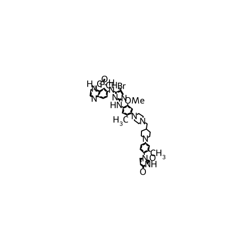 COc1cc(N2CCN(CC3CCN(c4ccc(-n5ccc(=O)[nH]c5=O)c(C)c4)CC3)CC2)c(C)cc1Nc1ncc(Br)c(Nc2ccc3nccnc3c2P(C)(C)=O)n1